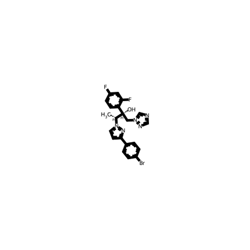 C[C@@H](n1ccc(-c2ccc(Br)cc2)n1)[C@](O)(Cn1cncn1)c1ccc(F)cc1F